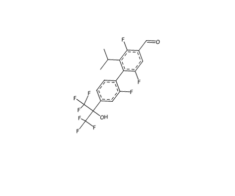 CC(C)c1c(F)c(C=O)cc(F)c1-c1ccc(C(O)(C(F)(F)F)C(F)(F)F)cc1F